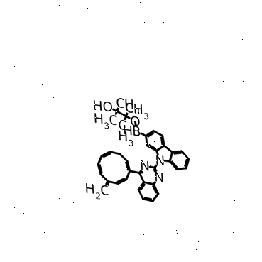 C=C1/C=C\C=C/C/C=C(c2nc(-n3c4ccccc4c4ccc(BOC(C)(C)C(C)(C)O)cc43)nc3ccccc23)\C=C/1